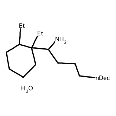 CCCCCCCCCCCCCC(N)C1(CC)CCCCC1CC.O